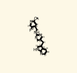 COc1cc(CNc2ncc(Cc3c[nH]c4ncccc34)cn2)c(F)cn1